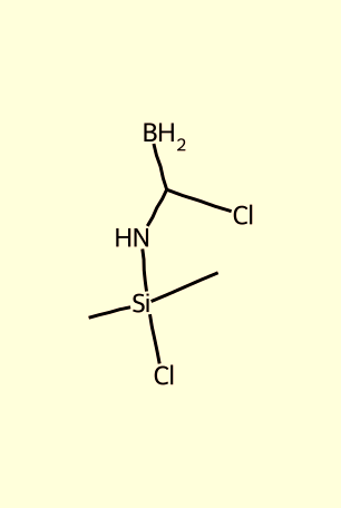 BC(Cl)N[Si](C)(C)Cl